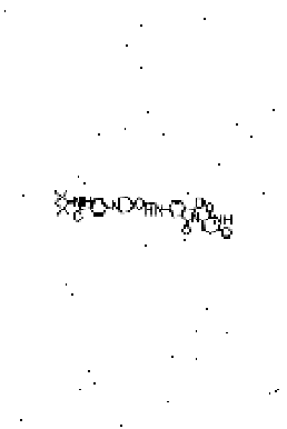 CC1(C)CC(C)(C)C1NC(=O)c1ccc(N2CCC3(CC2)CC(CNc2ccc4c(c2)C(=O)N(C2CCC(=O)NC2=O)C4=O)C3)cc1